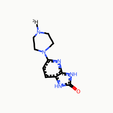 [2H]N1CCN(c2ccc3[nH]c(=O)[nH]c3n2)CC1